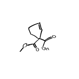 COC(=O)C1(C(=O)O)C=CCC1